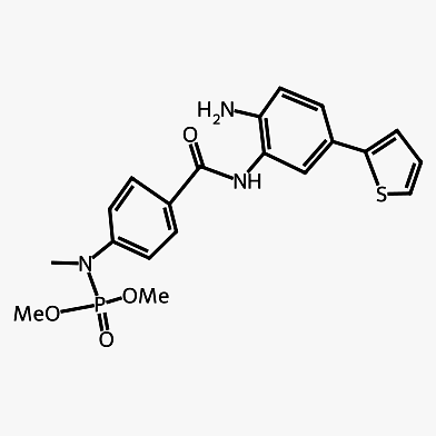 COP(=O)(OC)N(C)c1ccc(C(=O)Nc2cc(-c3cccs3)ccc2N)cc1